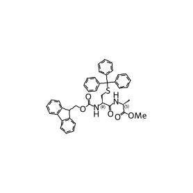 COC(=O)[C@H](C)NC(=O)[C@H](CSC(c1ccccc1)(c1ccccc1)c1ccccc1)NC(=O)OCC1c2ccccc2-c2ccccc21